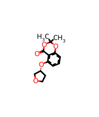 CC1(C)OC(=O)c2c(O[C@@H]3CCOC3)cccc2O1